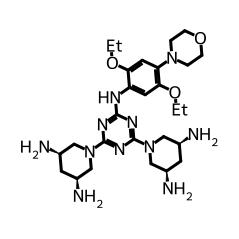 CCOc1cc(N2CCOCC2)c(OCC)cc1Nc1nc(N2C[C@H](N)C[C@H](N)C2)nc(N2C[C@H](N)C[C@H](N)C2)n1